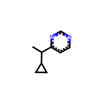 CC(c1ccncn1)C1CC1